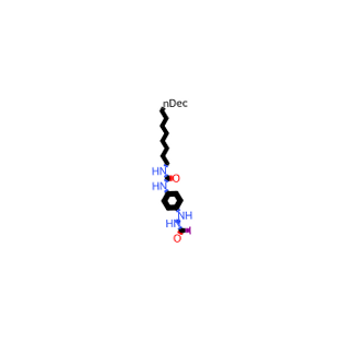 CCCCCCCCCCCCCCCCCCNC(=O)Nc1ccc(NNC(=O)I)cc1